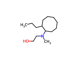 CCCC1CCCCCCC1N(C)CCO